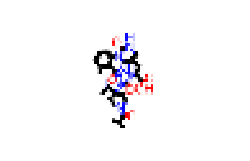 CCC1(NC(=O)NC(Cc2c[nH]c(=O)nc2NC(=O)c2c(C)cccc2C)C(=O)O)CCN(C(=O)C(C)C)CC1